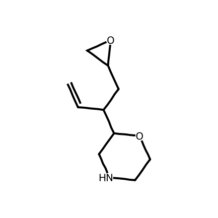 C=CC(CC1CO1)C1CNCCO1